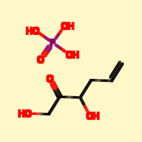 C=CCC(O)C(=O)CO.O=P(O)(O)O